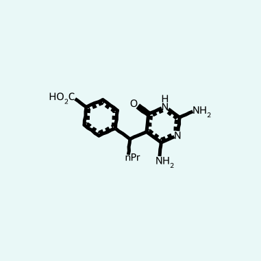 CCCC(c1ccc(C(=O)O)cc1)c1c(N)nc(N)[nH]c1=O